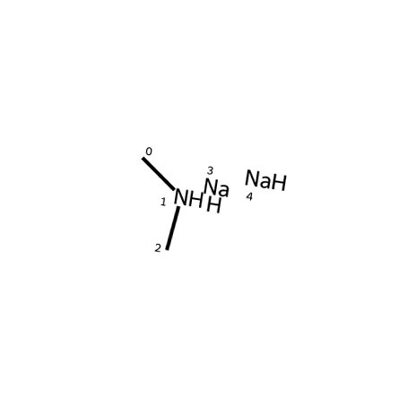 CNC.[NaH].[NaH]